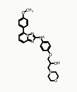 COc1ccc(-c2cccc3nc(Nc4ccc(OCC(O)CN5CCOCC5)cc4)nn23)cc1